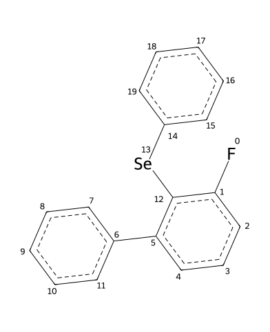 Fc1cccc(-c2ccccc2)c1[Se]c1ccccc1